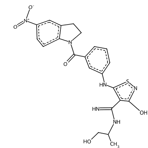 CC(CO)NC(=N)c1c(O)nsc1Nc1cccc(C(=O)N2CCc3cc([N+](=O)[O-])ccc32)c1